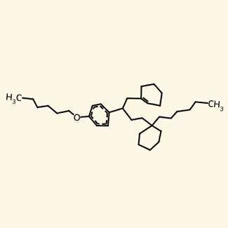 CCCCCCOc1ccc(C(CCC2(CCCCCC)CCCCC2)CC2=CCCCC2)cc1